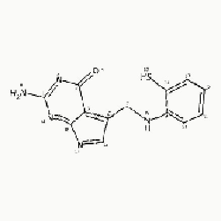 NC1=NC(=O)C2=C(CNc3ccccc3S)C=NC2=N1